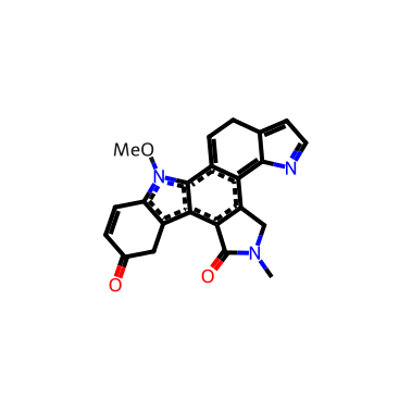 COn1c2c(c3c4c(c5c(c31)=CCC1=CC=NC=51)CN(C)C4=O)CC(=O)C=C2